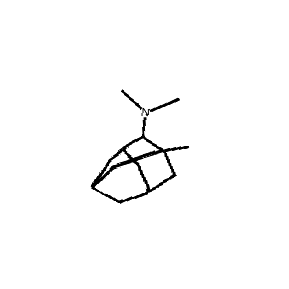 CN(C)C1C2CC3CC(C2)CC1(C)C3